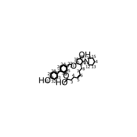 O=C(O)CC/C=C\CC[C@@H]1[C@@H](N2CCCCC2)[C@@H](O)C[C@@H]1OCc1ccc(-c2ccc(O)cc2)cc1